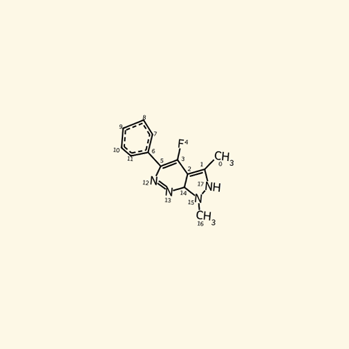 CC1=C2C(F)=C(c3ccccc3)N=NC2N(C)N1